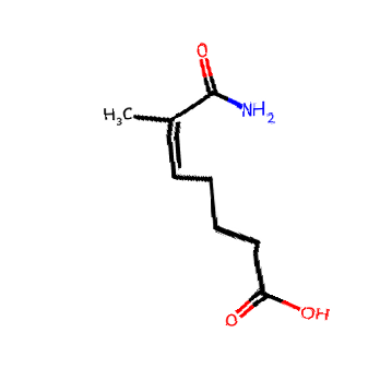 CC(=CCCCC(=O)O)C(N)=O